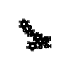 O=c1c2c(O)n[nH]c2c2cnc(NC[C@H]3COc4ccccc4O3)nc2n1-c1ccccc1